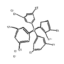 CCC1=CCC([Si](c2cc(CC)cc(CC)c2)(c2cc(CC)cc(CC)c2)c2cc(CC)cc(CC)c2)=[C]1[Ti+3].[Cl-].[Cl-].[Cl-]